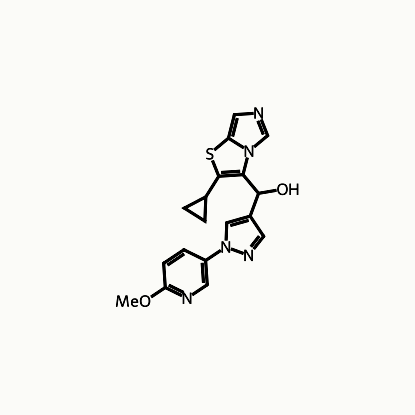 COc1ccc(-n2cc(C(O)c3c(C4CC4)sc4cncn34)cn2)cn1